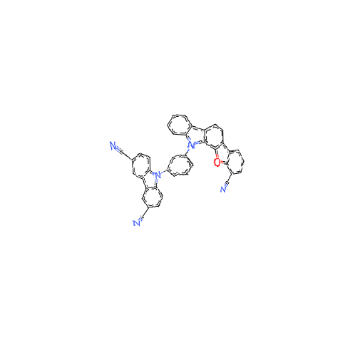 N#Cc1ccc2c(c1)c1cc(C#N)ccc1n2-c1cccc(-n2c3ccccc3c3ccc4c5cccc(C#N)c5oc4c32)c1